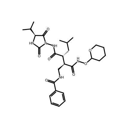 CC(C)C[C@@H](C(=O)NN1C(=O)N[C@@H](C(C)C)C1=O)[C@H](CNC(=O)c1ccccc1)C(=O)NOC1CCCCO1